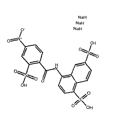 O=C(Nc1ccc(S(=O)(=O)O)c2ccc(S(=O)(=O)O)cc12)c1ccc([N+](=O)[O-])cc1S(=O)(=O)O.[NaH].[NaH].[NaH]